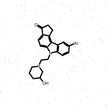 CC(=O)c1ccc2c(c1)c1c3c(ccc1n2CCN1CCCC(O)C1)C(=O)CC3